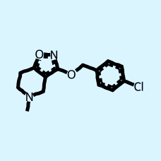 CN1CCc2onc(OCc3ccc(Cl)cc3)c2C1